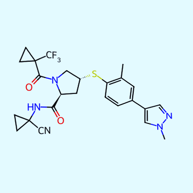 Cc1cc(-c2cnn(C)c2)ccc1S[C@@H]1C[C@@H](C(=O)NC2(C#N)CC2)N(C(=O)C2(C(F)(F)F)CC2)C1